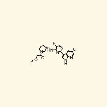 O=C(COCF)N1CCC[C@H](CNc2nc(-c3c[nH]c4ncc(Cl)cc34)ncc2F)C1